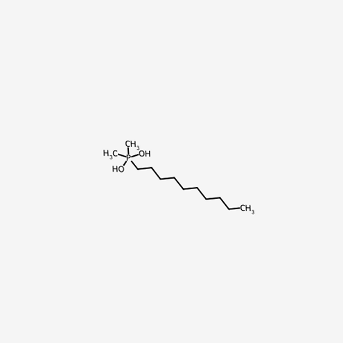 CCCCCCCCCCP(C)(C)(O)O